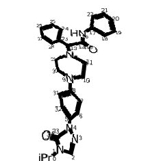 CC(C)n1cnn(-c2ccc(N3CCN(C(C(=O)Nc4ccccc4)c4ccccc4)CC3)cc2)c1=O